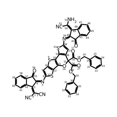 N#CC(C#N)=C1/C(=N/c2cc3sc4c(c3s2)OC(C(=O)OCc2ccccc2)(C(=O)OCc2ccccc2)c2cc(/N=C3\C(=O)c5ccccc5\C3=C(/N)C#N)sc2-4)C(=O)c2ccccc21